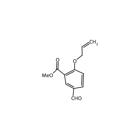 C=CCOc1ccc(C=O)cc1C(=O)OC